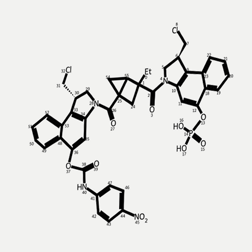 CCC1(C(=O)N2C[C@@H](CCl)c3c2cc(OP(=O)(O)O)c2ccccc32)CC2(C(=O)N3C[C@@H](CCl)c4c3cc(OC(=O)Nc3ccc([N+](=O)[O-])cc3)c3ccccc43)CC21